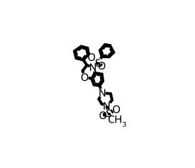 CS(=O)(=O)N1CCN(c2ccc3c(c2)OCC(c2ccccc2)N3S(=O)(=O)c2ccccc2)CC1